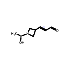 CB(O)N1CC(/C=C/C=O)C1